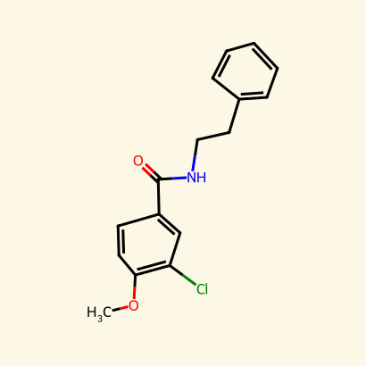 COc1ccc(C(=O)NCCc2ccccc2)cc1Cl